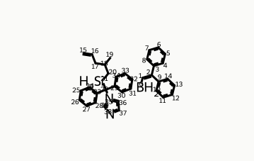 BC=C(c1ccccc1)c1ccccc1.C=CCC(C)C[SiH2]C(c1ccccc1)(c1ccccc1)n1ccnc1